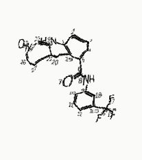 Nc1cccc(C(=O)Nc2cccc(C(F)(F)F)c2)c1Cc1cc[n+]([O-])cc1